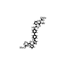 COC(=O)N[C@H](C(=O)N1CCC[C@H]1C(=O)Nc1ccc(-c2ccc(C3CN=C([C@@H]4CCCN4C(=O)[C@@H](NC(=O)OC)C(C)C)N3)cc2)cc1)C(C)C